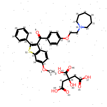 COc1ccc2c(C(=O)c3ccc(OCCN4CCCCCC4)cc3)c(-c3ccccc3)sc2c1.O=C(O)CC(O)(CC(=O)O)C(=O)O